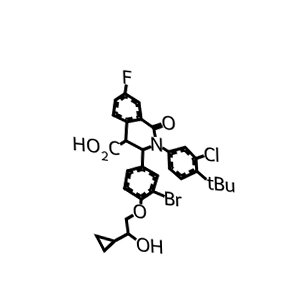 CC(C)(C)c1ccc(N2C(=O)c3cc(F)ccc3C(C(=O)O)C2c2ccc(OCC(O)C3CC3)c(Br)c2)cc1Cl